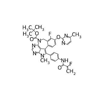 C=C(F)C(=O)Nc1ccc(-c2c3c4c(ncnc4n2C)N(C(=O)OC(C)(C)C)Cc2c-3ccc(Oc3nccc(C)n3)c2F)cc1